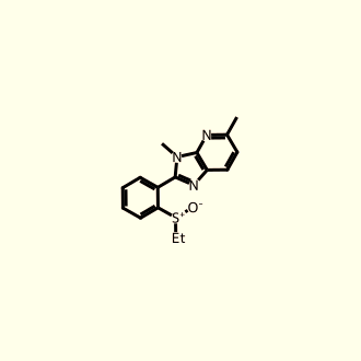 CC[S+]([O-])c1ccccc1-c1nc2ccc(C)nc2n1C